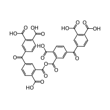 O=C(c1ccc(C(=O)O)c(C(=O)O)c1)c1ccc(C(=O)O)c(C(=O)OC(=O)c2cc(C(=O)c3ccc(C(=O)O)c(C(=O)O)c3)ccc2C(=O)O)c1